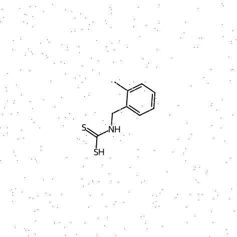 [CH2]c1ccccc1CNC(=S)S